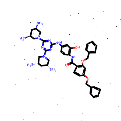 N[C@@H]1C[C@H](N)CN(c2nc(Nc3ccc(NC(=O)c4ccc(OCc5ccccc5)cc4OCc4ccccc4)c(O)c3)nc(N3C[C@H](N)C[C@H](N)C3)n2)C1